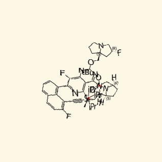 CC(C)[Si](C#Cc1c(F)ccc2cccc(-c3nc4c5c(nc(OC[C@@]67CCCN6C[C@H](F)C7)nc5c3F)N3C[C@H]5CC[C@@H]([C@@H]3C[C@H]4C)N5C(=O)OC(C)(C)C)c12)(C(C)C)C(C)C